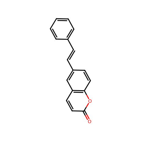 O=c1ccc2cc(C=Cc3ccccc3)ccc2o1